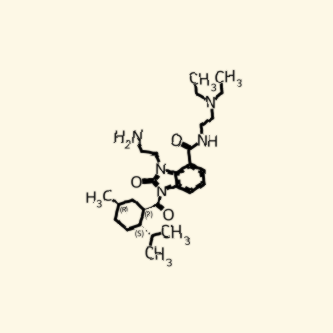 CCN(CC)CCNC(=O)c1cccc2c1n(CCN)c(=O)n2C(=O)[C@@H]1C[C@H](C)CC[C@H]1C(C)C